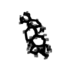 COC1C(O)CC[C@@]2(C)C1CC[C@@H]1[C@@H]2CC[C@]2(C)C(=O)CC[C@@H]12